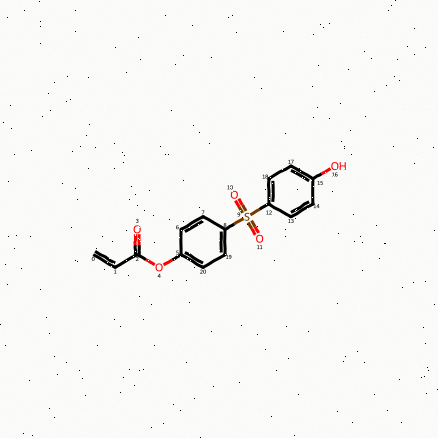 C=CC(=O)Oc1ccc(S(=O)(=O)c2ccc(O)cc2)cc1